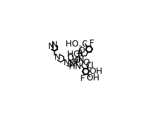 O=C(O)c1c(F)ccc2c1OB(O)[C@@H](NC(=O)C(NC(=O)N1CCN(C3CCN(Cc4ccnnc4)CC3)C1=O)c1cc(F)c(O)c(O)c1Cl)C2